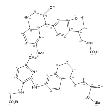 CCOC(=O)CNc1ccc(OC)nc1Nc1ccc2c(c1)CCCC2CNC(=O)OC(C)(C)C.COc1ccc2c(n1)N(c1ccc3c(c1)CCCC3CNC(=O)O)C(=O)CN2